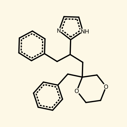 c1ccc(CC(CC2(Cc3ccccc3)COCCO2)c2ncc[nH]2)cc1